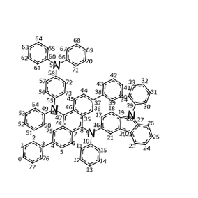 c1ccc(-c2ccc3c(N(c4ccccc4)c4ccc5c(c4)c4ccccc4n5-c4ccccc4)c4cc(-c5ccccc5)ccc4c(N(c4ccccc4)c4ccc(N(c5ccccc5)c5ccccc5)cc4)c3c2)cc1